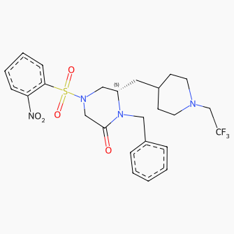 O=C1CN(S(=O)(=O)c2ccccc2[N+](=O)[O-])C[C@H](CC2CCN(CC(F)(F)F)CC2)N1Cc1ccccc1